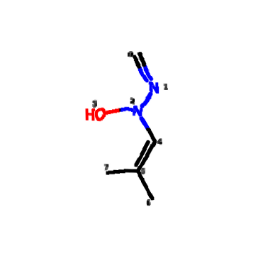 C=NN(O)C=C(C)C